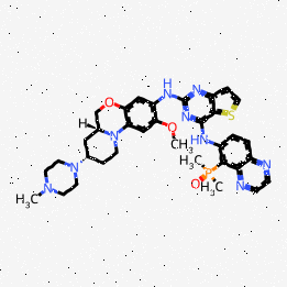 COc1cc2c(cc1Nc1nc(Nc3ccc4nccnc4c3P(C)(C)=O)c3sccc3n1)OC[C@H]1C[C@@H](N3CCN(C)CC3)CCN21